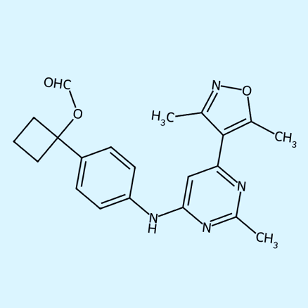 Cc1nc(Nc2ccc(C3(OC=O)CCC3)cc2)cc(-c2c(C)noc2C)n1